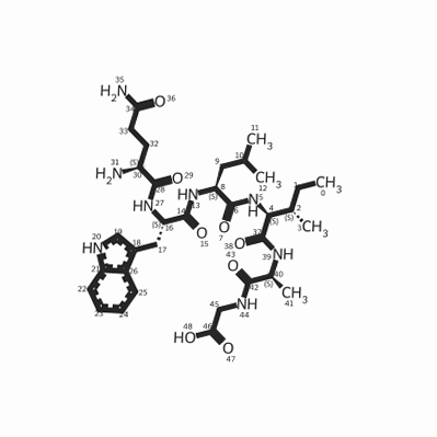 CC[C@H](C)[C@H](NC(=O)[C@H](CC(C)C)NC(=O)[C@H](Cc1c[nH]c2ccccc12)NC(=O)[C@@H](N)CCC(N)=O)C(=O)N[C@@H](C)C(=O)NCC(=O)O